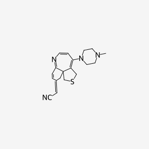 CN1CCN(C2=C3CSCC34CC(=CC#N)C=CC4=NC=C2)CC1